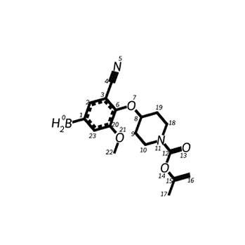 Bc1cc(C#N)c(OC2CCN(C(=O)OC(=C)C)CC2)c(OC)c1